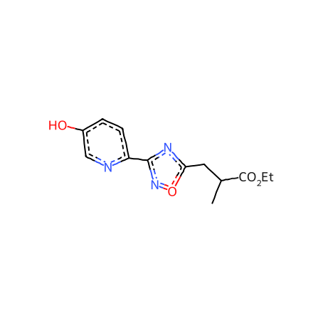 CCOC(=O)C(C)Cc1nc(-c2ccc(O)cn2)no1